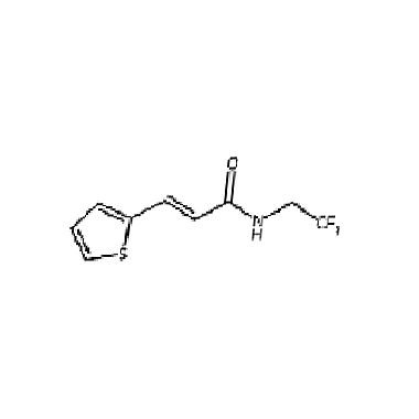 O=C(C=Cc1cccs1)NCC(F)(F)F